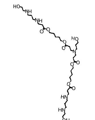 O=C(CCNCCCNCCO)OCCCCCOC(=O)CCN(CCCO)CCC(=O)OCCCCCOC(=O)CCNCCCNCCO